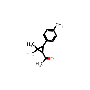 CC(=O)C1C(c2ccc(C)cc2)C1(C)C